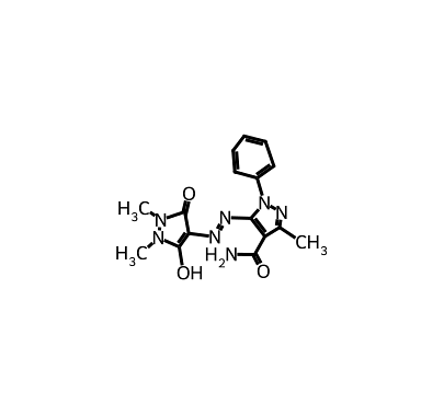 Cc1nn(-c2ccccc2)c(N=Nc2c(O)n(C)n(C)c2=O)c1C(N)=O